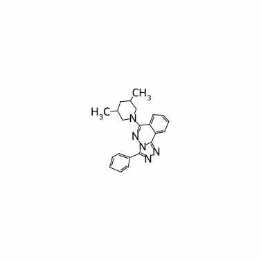 CC1CC(C)CN(c2nn3c(-c4ccccc4)nnc3c3ccccc23)C1